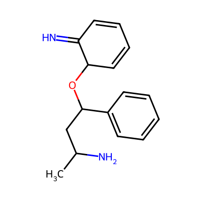 CC(N)CC(OC1C=CC=CC1=N)c1ccccc1